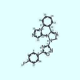 Fc1ccc(-c2nc(N3CN=C4c5ccccc5-n5cncc5N43)no2)cc1